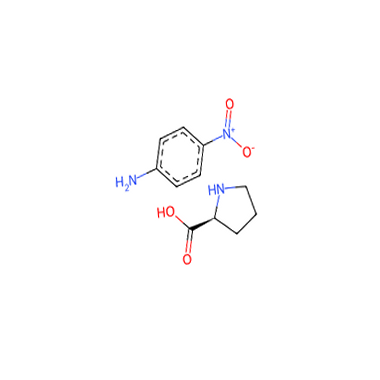 Nc1ccc([N+](=O)[O-])cc1.O=C(O)[C@@H]1CCCN1